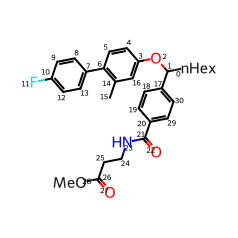 CCCCCCC(Oc1ccc(-c2ccc(F)cc2)c(C)c1)c1ccc(C(=O)NCCC(=O)OC)cc1